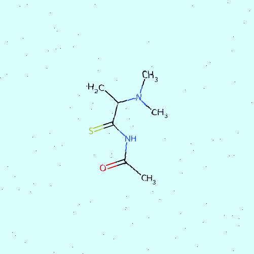 [CH2]C(C(=S)NC(C)=O)N(C)C